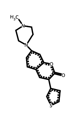 CN1CCN(c2ccc3cc(-c4ccsc4)c(=O)oc3c2)CC1